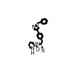 N#C[C@H](Cc1ccc(-c2cnn(Cc3ccccc3)c2)cc1)NC(=O)[C@@H]1CCCCN1